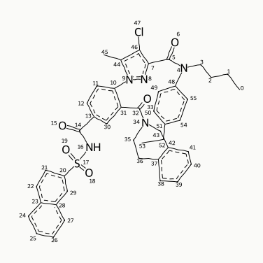 CCCCN(C(=O)c1nn(-c2ccc(C(=O)NS(=O)(=O)c3ccc4ccccc4c3)cc2C(=O)N2CCc3ccccc3C2)c(C)c1Cl)c1ccc(CC)cc1